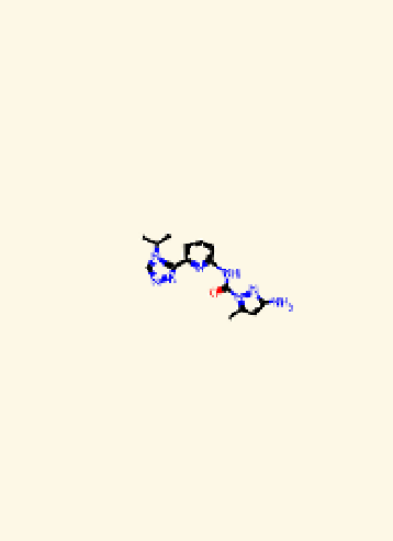 Cc1cc(N)nn1C(=O)Nc1cccc(-c2nncn2C(C)C)n1